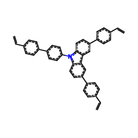 C=Cc1ccc(-c2ccc(-n3c4ccc(-c5ccc(C=C)cc5)cc4c4cc(-c5ccc(C=C)cc5)ccc43)cc2)cc1